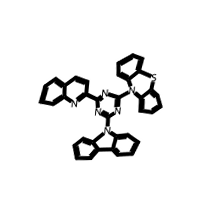 c1ccc2c(c1)Sc1ccccc1N2c1nc(-c2ccc3ccccc3n2)nc(-n2c3ccccc3c3ccccc32)n1